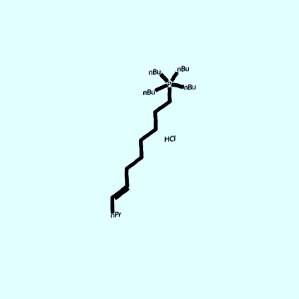 CCCC=CCCCCCCP(CCCC)(CCCC)(CCCC)CCCC.Cl